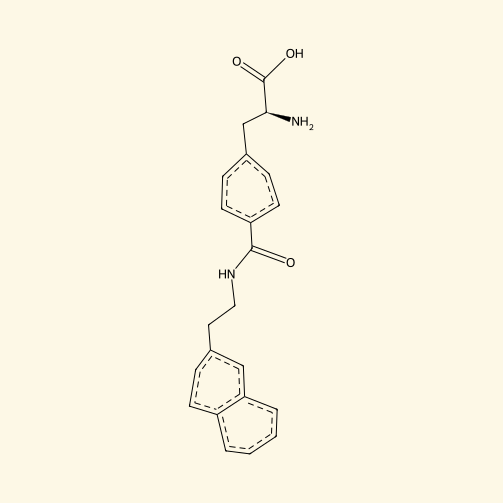 N[C@@H](Cc1ccc(C(=O)NCCc2ccc3ccccc3c2)cc1)C(=O)O